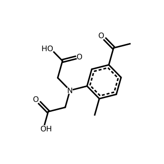 CC(=O)c1ccc(C)c(N(CC(=O)O)CC(=O)O)c1